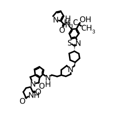 CC(C)(O)c1cc2nc([C@H]3CC[C@H](CN4CCC(CCNc5cccc6c5C(=O)N(C5CCC(=O)NC5=O)C6)CC4)CC3)sc2cc1NC(=O)c1ccccn1